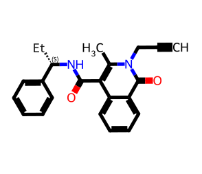 C#CCn1c(C)c(C(=O)N[C@@H](CC)c2ccccc2)c2ccccc2c1=O